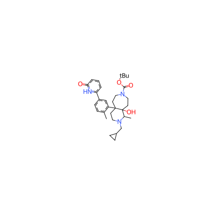 Cc1ccc(-c2cccc(=O)[nH]2)cc1C12CCN(C(=O)OC(C)(C)C)CCC1(O)C(C)N(CC1CC1)CC2